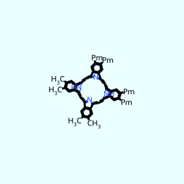 Cc1cc2c(cc1C)-c1cc3[nH]c(cc4nc(cc5[nH]c(cc-2n1)c1cc(C)c(C)cc51)-c1c[c]([Pm])[c]([Pm])cc1-4)c1c[c]([Pm])[c]([Pm])cc31